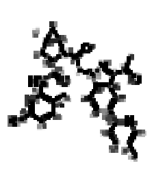 CC(=O)c1nn(CC(=O)N2C3C[C@]3(C)C[C@H]2C(=O)Nc2nc(Br)ccc2C)c2ccc(-c3ccc(C)cn3)cc12